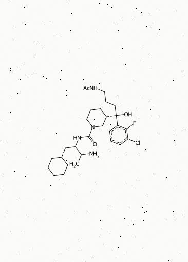 CC(=O)NCCCC(O)(c1cccc(Cl)c1F)C1CCCN(C(=O)NC(CC2CCCCC2)C(C)N)C1